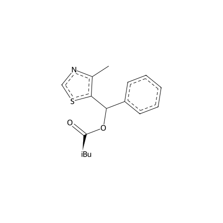 CC[C@H](C)C(=O)OC(c1ccccc1)c1scnc1C